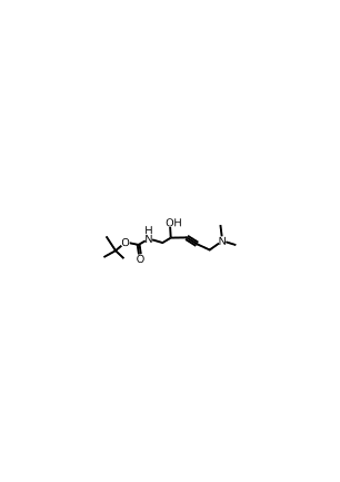 CN(C)CC#CC(O)CNC(=O)OC(C)(C)C